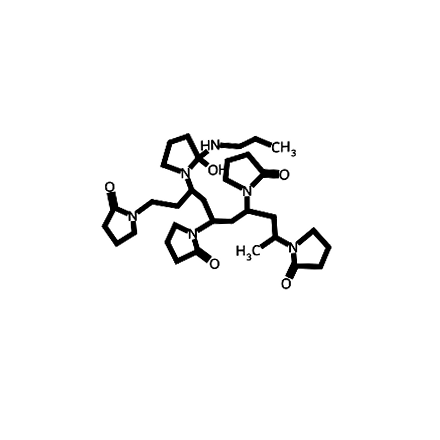 CCCNC1(O)CCCN1C(CCN1CCCC1=O)CC(CC(CC(C)N1CCCC1=O)N1CCCC1=O)N1CCCC1=O